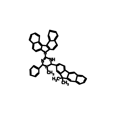 CN1C(c2ccccc2)N=C(n2c3ccc4ccccc4c3c3c4ccccc4ccc32)NC1c1ccc2c(c1)C(C)(C)c1cc3ccccc3cc1-2